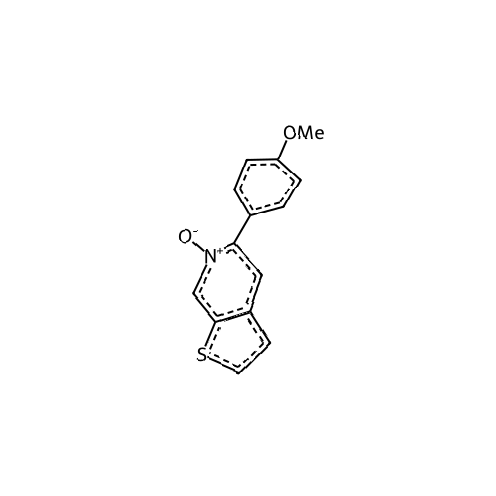 COc1ccc(-c2cc3ccsc3c[n+]2[O-])cc1